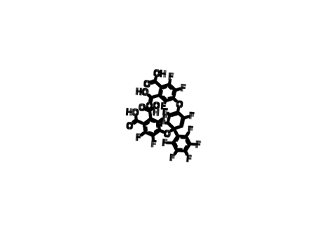 O=C(O)c1c(F)c(F)c(OC2=C(F)C(F)C(Oc3c(F)c(F)c(C(=O)O)c(C(=O)O)c3F)(c3c(F)c(F)c(F)c(F)c3F)C=C2F)c(F)c1C(=O)O